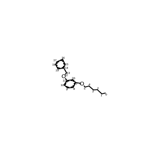 CCCCCCOc1cccc(OCc2ccccc2)c1